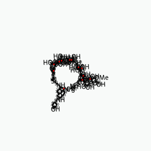 CO[C@H]1C(O)C(O)[C@@H](O[C@H]2C(O)C(O)[C@@H](O[C@H]3C(O)C(O)[C@@H]4O[C@@H]3CSCc3csc(n3)CNc3cc(c5ccc6cc(NCc7ccc(O)cc7)cc7ccc3c5c67)NCc3nc(cs3)CSC[C@H]3OCC(O)C(O)[C@@H]3O[C@H]3O[C@H](CO)[C@@H](O[C@H]5O[C@H](CO)[C@@H](O[C@H]6O[C@H](CO)[C@@H](O4)C(O)C6O)C(O)C5O)C(O)C3O)O[C@@H]2CO)O[C@@H]1CO